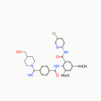 C#Cc1cc(OC)c(NC(=O)c2ccc(C(=N)N3CCC(CO)CC3)cc2)c(C(=O)Nc2ccc(Cl)cn2)c1